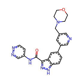 O=C(Nc1ccnnc1)c1n[nH]c2ccc(-c3cncc(CN4CCOCC4)c3)cc12